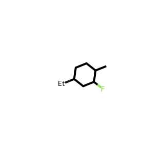 CCC1CCC(C)C(F)C1